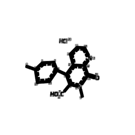 Cc1ccc(-c2c(C(=O)O)n(C)c(=O)c3ncccc23)cc1.Cl